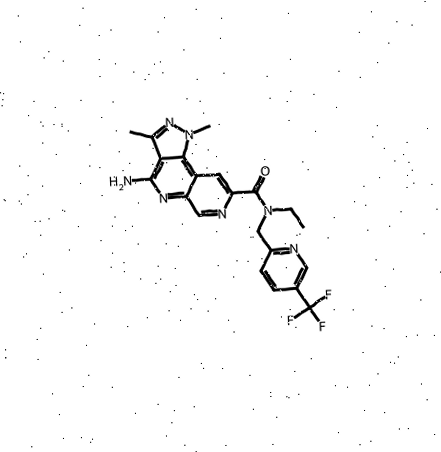 CCN(Cc1ccc(C(F)(F)F)cn1)C(=O)c1cc2c(cn1)nc(N)c1c(C)nn(C)c12